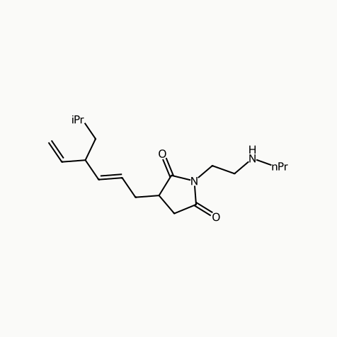 C=CC(C=CCC1CC(=O)N(CCNCCC)C1=O)CC(C)C